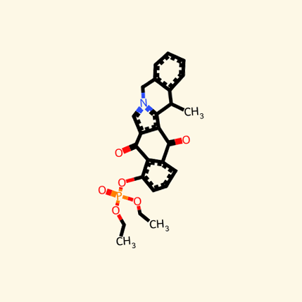 CCOP(=O)(OCC)Oc1cccc2c1C(=O)c1cn3c(c1C2=O)C(C)c1ccccc1C3